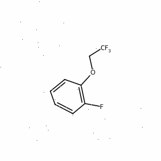 Fc1[c]cccc1OCC(F)(F)F